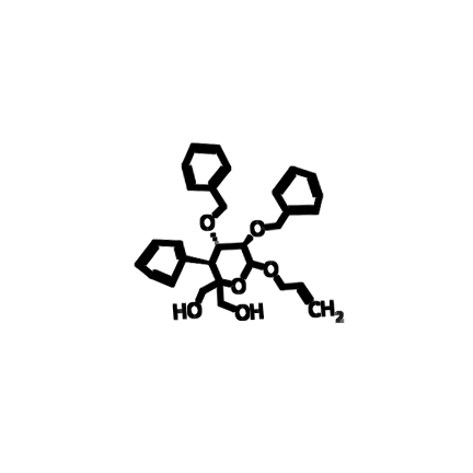 C=CCOC1OC(CO)(CO)[C@@H](c2ccccc2)[C@H](OCc2ccccc2)[C@H]1OCc1ccccc1